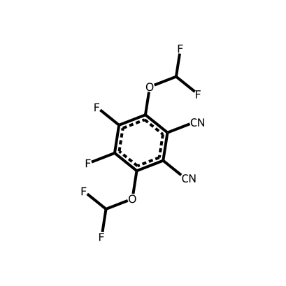 N#Cc1c(C#N)c(OC(F)F)c(F)c(F)c1OC(F)F